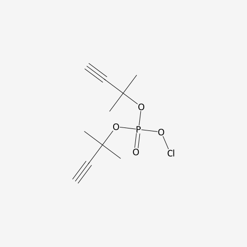 C#CC(C)(C)OP(=O)(OCl)OC(C)(C)C#C